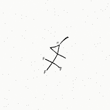 C[C@@H]1CC1(C)C(F)(F)F